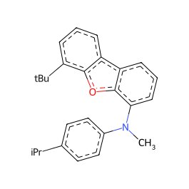 CC(C)c1ccc(N(C)c2cccc3c2oc2c(C(C)(C)C)cccc23)cc1